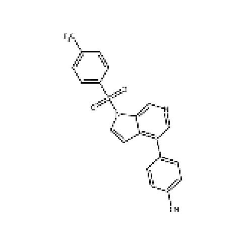 N#Cc1ccc(-c2cncc3c2ccn3S(=O)(=O)c2ccc(C(F)(F)F)cc2)cc1